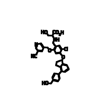 N#Cc1cncc(COc2cc(O[C@H]3CCc4c(-c5ccc(CO)cc5)cccc43)c(Cl)cc2CN[C@@H](CO)C(=O)O)c1